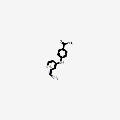 C\C=C/C=C(Bc1ccc(C(N)=O)cc1)\C=C/C